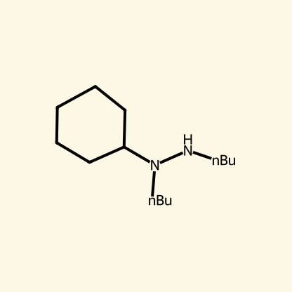 CCCCNN(CCCC)C1CCCCC1